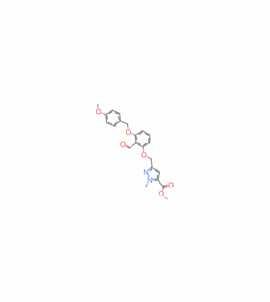 COC(=O)c1cc(COc2cccc(OCc3ccc(OC)cc3)c2C=O)nn1C